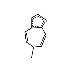 CC1C=Cc2ccsc2C=C1